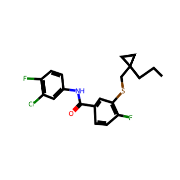 CCCC1(CSc2cc(C(=O)Nc3ccc(F)c(Cl)c3)ccc2F)CC1